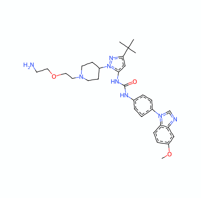 COc1ccc2c(c1)ncn2-c1ccc(NC(=O)Nc2cc(C(C)(C)C)nn2C2CCN(CCOCCN)CC2)cc1